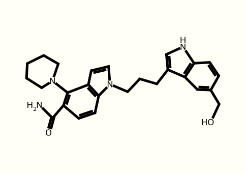 NC(=O)c1ccc2c(ccn2CCCc2c[nH]c3ccc(CO)cc23)c1N1CCCCC1